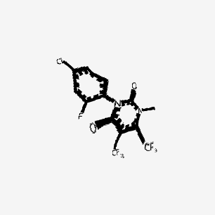 Cn1c(C(F)(F)F)c(C(F)(F)F)c(=O)n(-c2ccc(Cl)cc2F)c1=O